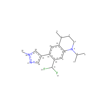 CC1CCN(C(C)C)c2cc(C(F)F)c(-c3cnn(C)c3)cc21